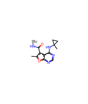 Cc1oc2ncnc(NC3(C)CC3)c2c1C(=O)NC(C)(C)C